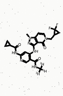 [2H]C([2H])([2H])NC(=O)c1cnc(NC(=O)C2CC2)cc1Nc1nn(C)c2ccn(CC3CC3(F)F)c(=O)c12